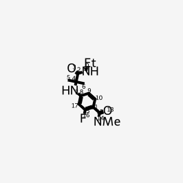 CCNC(=O)C(C)(C)Nc1ccc(C(=O)NC)c(F)c1